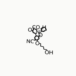 N#Cc1cc2c(cc1OCCCCCO)OC(c1ccccc1)n1cc(C(=O)O)c(=O)cc1-2